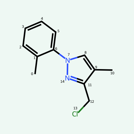 Cc1ccccc1-n1cc(C)c(CCl)n1